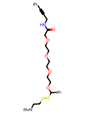 CNCCSSC(OCCOCCOCCOCC(=O)NCC#CC(C)C)C(C)C